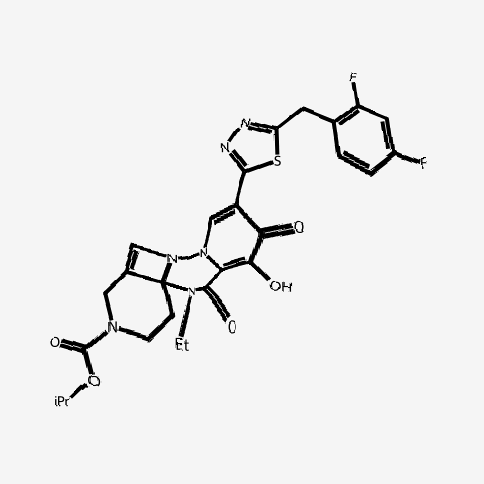 CCN1C(=O)c2c(O)c(=O)c(-c3nnc(Cc4ccc(F)cc4F)s3)cn2N2C=C3CN(C(=O)OC(C)C)CCC312